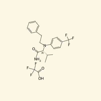 CC(C)[C@H](C(N)=O)N(CCc1ccccc1)c1ccc(C(F)(F)F)cc1.O=C(O)C(F)(F)F